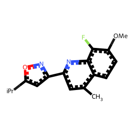 COc1ccc2c(C)cc(-c3cc(C(C)C)on3)nc2c1F